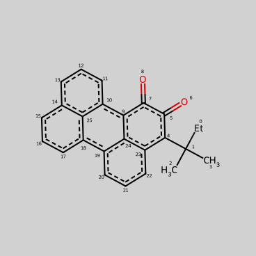 CCC(C)(C)c1c(=O)c(=O)c2c3cccc4cccc(c5cccc1c52)c43